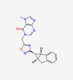 Cn1cnc2ncn(Cc3nc([C@@H]4[C@H]5Cc6ccccc6[C@H]54)no3)c(=O)c21